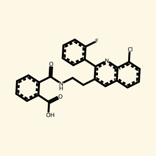 O=C(O)c1ccccc1C(=O)NCCc1cc2cccc(Cl)c2nc1-c1ccccc1F